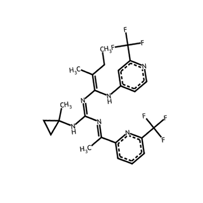 CC/C(C)=C(/N=C(\N=C(/C)c1cccc(C(F)(F)F)n1)NC1(C)CC1)Nc1ccnc(C(F)(F)F)c1